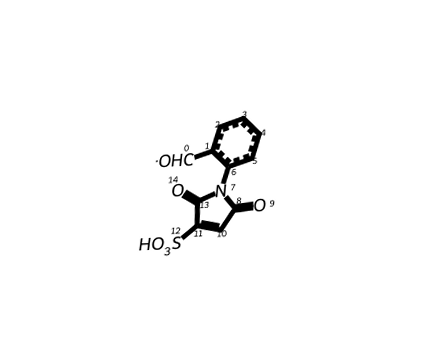 O=[C]c1ccccc1N1C(=O)C=C(S(=O)(=O)O)C1=O